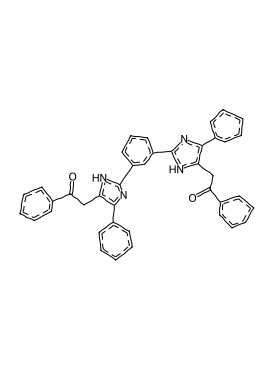 O=C(Cc1[nH]c(-c2cccc(-c3nc(-c4ccccc4)c(CC(=O)c4ccccc4)[nH]3)c2)nc1-c1ccccc1)c1ccccc1